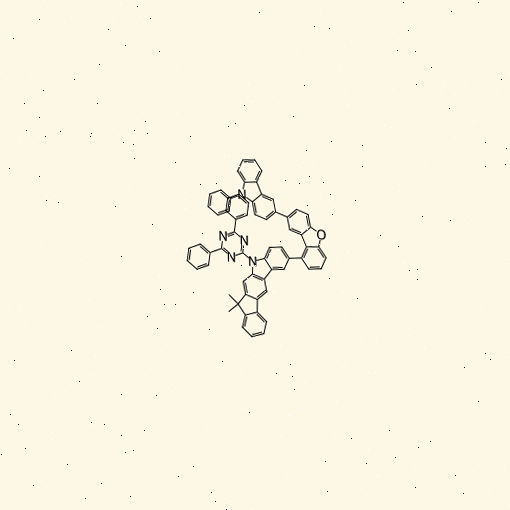 CC1(C)c2ccccc2-c2cc3c4cc(-c5cccc6oc7ccc(-c8ccc9c(c8)c8ccccc8n9-c8ccccc8)cc7c56)ccc4n(-c4nc(-c5ccccc5)nc(-c5ccccc5)n4)c3cc21